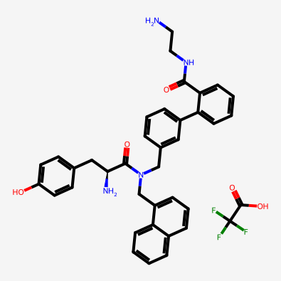 NCCNC(=O)c1ccccc1-c1cccc(CN(Cc2cccc3ccccc23)C(=O)[C@@H](N)Cc2ccc(O)cc2)c1.O=C(O)C(F)(F)F